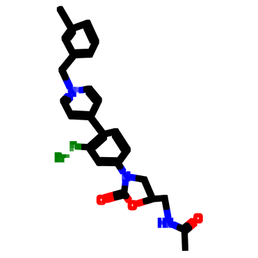 CC(=O)NCC1CN(c2ccc(-c3cc[n+](Cc4cccc(C)c4)cc3)c(F)c2)C(=O)O1.[Br-]